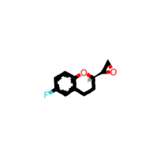 Fc1ccc2c(c1)CC[C@H](C1CO1)O2